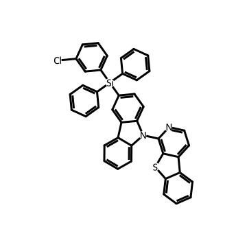 Clc1cccc([Si](c2ccccc2)(c2ccccc2)c2ccc3c(c2)c2ccccc2n3-c2nccc3c2sc2ccccc23)c1